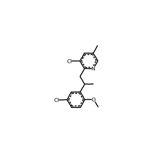 COc1ccc(Cl)cc1C(C)Cc1ncc(C)cc1Cl